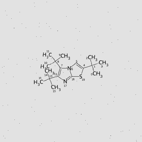 CC(C)(C)c1cn2c(C(C)(C)C)c(C(C)(C)C)nc2s1